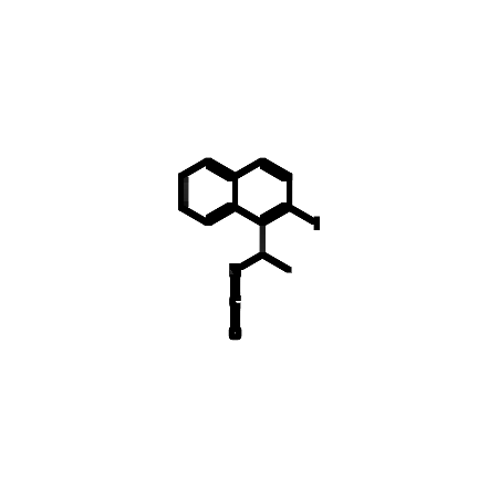 CC(N=C=O)c1c(I)ccc2ccccc12